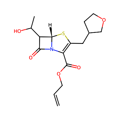 C=CCOC(=O)C1=C(CC2CCOC2)S[C@H]2C(C(C)O)C(=O)N12